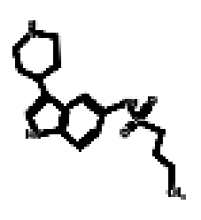 CCCCS(=O)(=O)Nc1ccc2[nH]cc(C3CCNCC3)c2c1